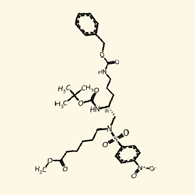 COC(=O)CCCCCN(C[C@@H](CCCNC(=O)OCc1ccccc1)NC(=O)OC(C)(C)C)S(=O)(=O)c1ccc([N+](=O)[O-])cc1